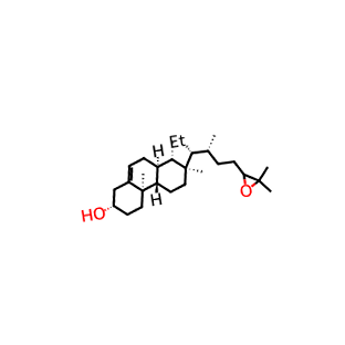 CC[C@H]([C@H](C)CCC1OC1(C)C)[C@@]1(C)CC[C@H]2[C@@H](CC=C3C[C@@H](O)CC[C@@]32C)[C@@H]1C